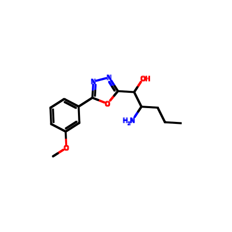 CCCC(N)C(O)c1nnc(-c2cccc(OC)c2)o1